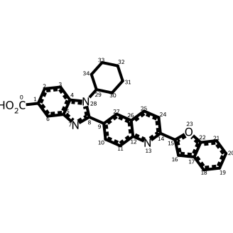 O=C(O)c1ccc2c(c1)nc(-c1ccc3nc(-c4cc5ccccc5o4)ccc3c1)n2C1CCCCC1